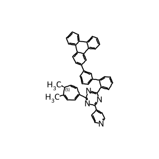 CC1=CC=C(c2nc(-c3ccncc3)nc(-c3ccccc3-c3cccc(-c4ccc5c6ccccc6c6ccccc6c5c4)c3)n2)C=C[C@@H]1C